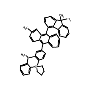 Cc1ccc2c(-c3ccc4c(c3)N(C)c3ccccc3[Si]43CCCC3)c3ccccc3c(-c3cccc4c3-c3ccccc3C4(C)C)c2c1